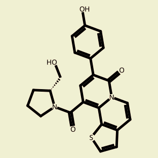 O=C(c1cc(-c2ccc(O)cc2)c(=O)n2ccc3ccsc3c12)N1CCC[C@@H]1CO